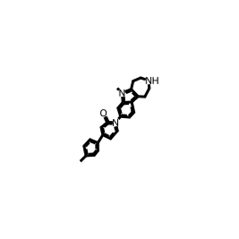 Cc1ccc(-c2ccn(-c3ccc4c5c(n(C)c4c3)CCNCC5)c(=O)c2)cc1